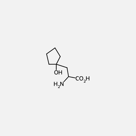 NC(CC1(O)CCCC1)C(=O)O